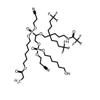 CCC(=O)OCCCCCCOP(=O)(OCCC#N)C(COP(=O)(OCCC#N)OCCCCCCO)OCC(CCCNC(=O)C(F)(F)F)(CCCC(F)(F)F)CCCC(F)(F)F